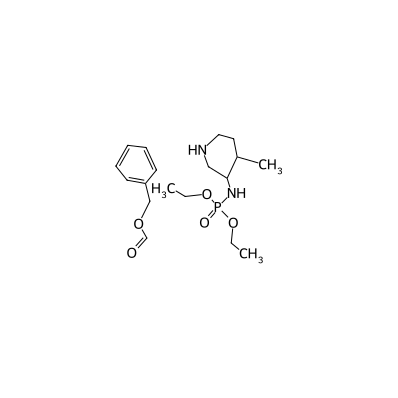 CCOP(=O)(NC1CNCCC1C)OCC.O=COCc1ccccc1